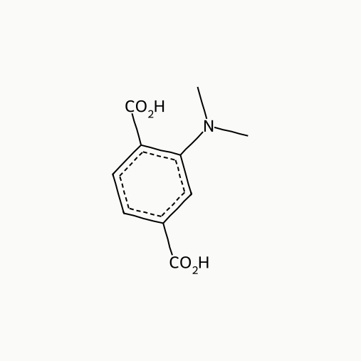 CN(C)c1cc(C(=O)O)ccc1C(=O)O